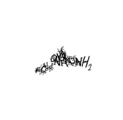 Cc1cc2nc(NC(=O)[C@@H]3C[C@H]3c3ccc(F)cc3)cc(N3CCC(N)CC3)n2n1